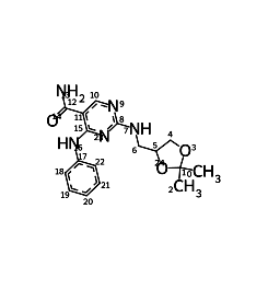 CC1(C)OCC(CNc2ncc(C(N)=O)c(Nc3ccccc3)n2)O1